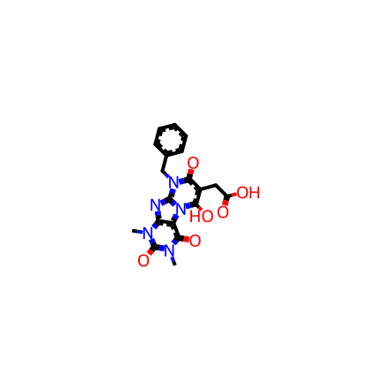 Cn1c(=O)c2c(nc3n(Cc4ccccc4)c(=O)c(CC(=O)O)c(O)n23)n(C)c1=O